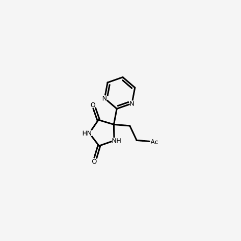 CC(=O)CCC1(c2ncccn2)NC(=O)NC1=O